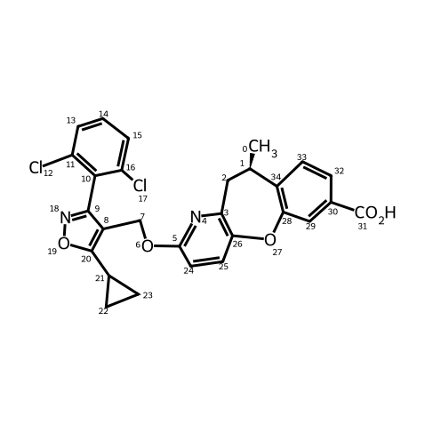 C[C@@H]1Cc2nc(OCc3c(-c4c(Cl)cccc4Cl)noc3C3CC3)ccc2Oc2cc(C(=O)O)ccc21